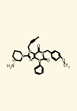 CC#CCn1c(N2CCC[C@@H](N)C2)nc2c1c(=O)n(Cc1ccc(OC(F)(F)F)cc1)c(=O)n2-c1ccccc1